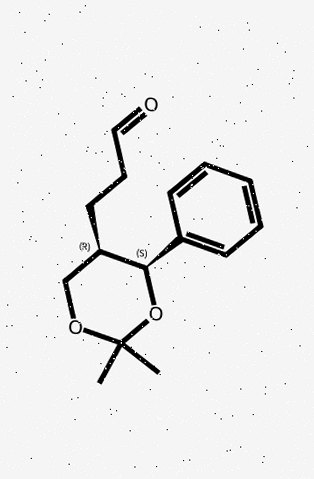 CC1(C)OC[C@@H](CCC=O)[C@@H](c2ccccc2)O1